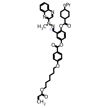 C=CC(=O)OCCCCCCOc1ccc(C(=O)Oc2ccc(OC(=O)C3CCC(CCC)CC3)c(/C=N/N(C)c3cnc4ccccc4n3)c2)cc1